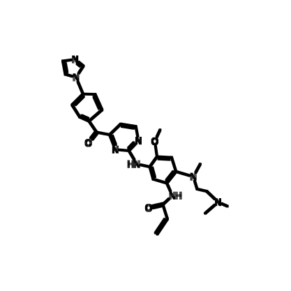 C=CC(=O)Nc1cc(Nc2nccc(C(=O)c3ccc(-n4ccnc4)cc3)n2)c(OC)cc1N(C)CCN(C)C